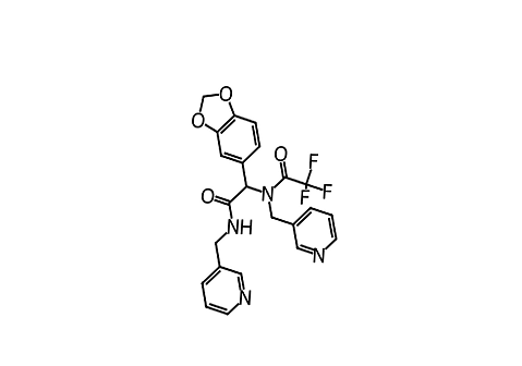 O=C(NCc1cccnc1)C(c1ccc2c(c1)OCO2)N(Cc1cccnc1)C(=O)C(F)(F)F